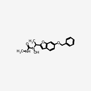 CNC(=O)N(O)C(C)c1cc2ccc(OCc3ccccc3)cc2o1